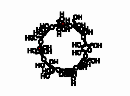 OCCC1O/C(O)=C(/O)C(CCO)OC2OC(CO)C(OC(O)/C(O)=C(/O)C(CCO)O[C@@H]3OC(CO)C(OC(O)/C(O)=C(/O)C(CCO)OC4OC(CO)C(OC(O)/C(O)=C(\O)C(CCO)OC(O)/C(O)=C\1O)C(O)C4O)C(O)C3O)C(O)C2O